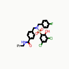 CC(C)CNC(=O)c1ccc(CN(Cc2ccc(F)cc2)S(=O)(=O)c2cc(Cl)cc(Cl)c2O)cc1